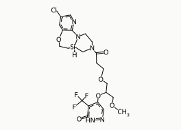 COCC(COCCC(=O)N1CCN2c3ncc(Cl)cc3OCC[Si@H]2C1)Oc1cn[nH]c(=O)c1C(F)(F)F